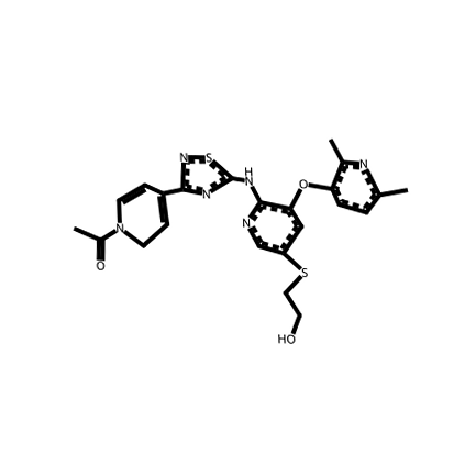 CC(=O)N1C=CC(c2nsc(Nc3ncc(SCCO)cc3Oc3ccc(C)nc3C)n2)=CC1